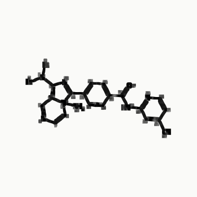 CCN(CC)C1=C2C=NC=C[N+]2(N)C(c2ccc(C(=O)Nc3cc(C#N)ccn3)cc2)=N1